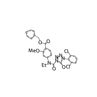 CCN(C(=O)n1nnn(-c2c(Cl)cccc2Cl)c1=O)c1ccc(C(=O)OCc2ccccc2)c(OC)c1